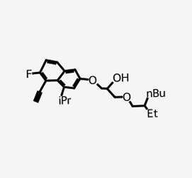 C#Cc1c(F)ccc2cc(OCC(O)COCC(CC)CCCC)cc(C(C)C)c12